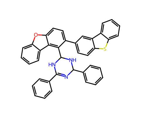 c1ccc(C2=NC(c3ccccc3)NC(c3c(-c4ccc5sc6ccccc6c5c4)ccc4oc5ccccc5c34)N2)cc1